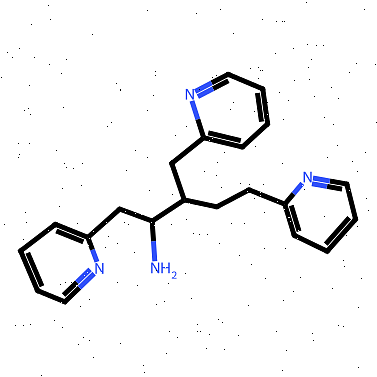 NC(Cc1ccccn1)C(CCc1ccccn1)Cc1ccccn1